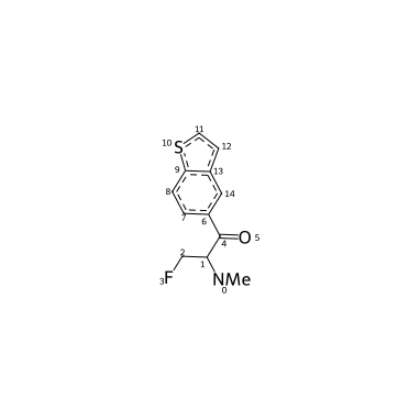 CNC(CF)C(=O)c1ccc2sccc2c1